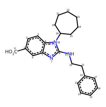 O=C(O)c1ccc2c(c1)nc(NCCc1ccccc1)n2C1CCCCCC1